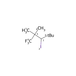 CC(C)(C)C(I)C(C)(C)C(F)(F)F